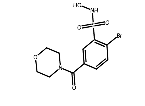 O=C(c1ccc(Br)c(S(=O)(=O)NO)c1)N1CCOCC1